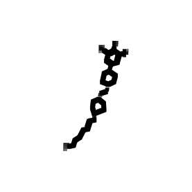 FCCCC/C=C/C[C@H]1CC[C@H](CC[C@H]2CC[C@H](c3cc(F)c(F)c(F)c3)CC2)CC1